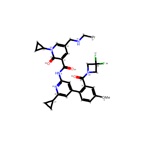 COc1ccc(-c2cc(NC(=O)c3cc(CNCC(C)C)cn(C4CC4)c3=O)nc(C3CC3)c2)c(C(=O)N2CC(F)(F)C2)c1